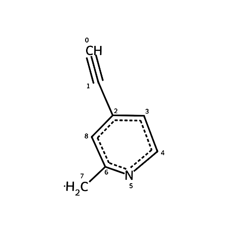 C#Cc1ccnc([CH2])c1